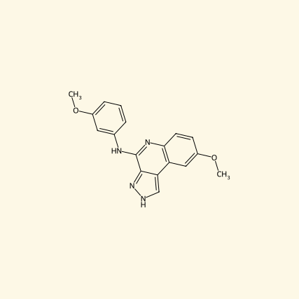 COc1cccc(Nc2nc3ccc(OC)cc3c3c[nH]nc23)c1